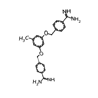 Cc1cc(OCc2ccc(C(=N)N)cc2)cc(OCc2ccc(C(=N)N)cc2)c1